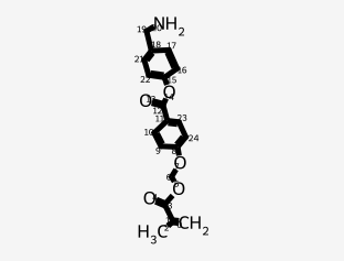 C=C(C)C(=O)OCOc1ccc(C(=O)Oc2ccc(CN)cc2)cc1